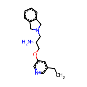 CCc1cncc(OC[C@H](N)CN2Cc3ccccc3C2)c1